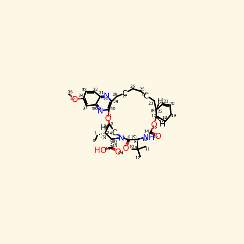 CC[C@@H]1[C@@H]2CN(C(=O)[C@H](C(C)(C)C)NC(=O)O[C@@H]3CCC=C[C@H]3CCCCCCc3nc4ccc(OC)cc4nc3O2)[C@@H]1C(=O)O